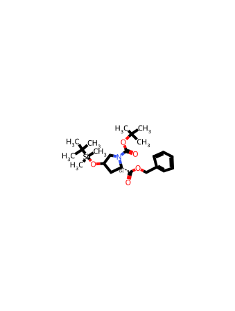 CC(C)(C)OC(=O)N1CC(O[Si](C)(C)C(C)(C)C)C[C@H]1C(=O)OCc1ccccc1